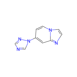 c1cn2ccc(-n3cncn3)cc2n1